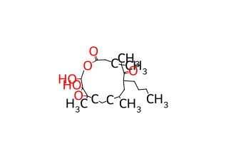 CCCCC1CC(C)CCCC2(C)OC2(O)C(O)COC(=O)CCC(C)(C)C1=O